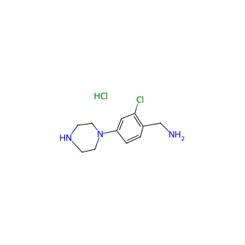 Cl.NCc1ccc(N2CCNCC2)cc1Cl